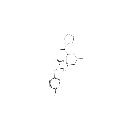 CC1Cc2nn(Cc3ccc(C(F)(F)F)nc3)c(=O)n2C(C(=O)N2CC[C@H](C)C2)C1